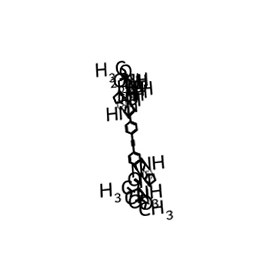 [2H]C([2H])([2H])C([2H])(C([2H])([2H])[2H])[C@@]([2H])(NC(=O)OC)C(=O)N1CCC[C@H]1c1ncc(-c2ccc(C#Cc3ccc4nc([C@@H]5CCCN5C(=O)C(NC(=O)OC)C(C)C)[nH]c4c3)cc2)[nH]1